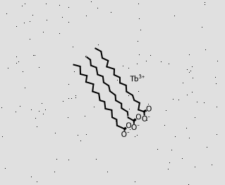 CCCCCCCCCCCCCCCC(=O)[O-].CCCCCCCCCCCCCCCC(=O)[O-].CCCCCCCCCCCCCCCC(=O)[O-].[Tb+3]